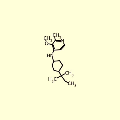 CCC(C)(C)C1CCC(Nc2ccnc(C)c2OC)CC1